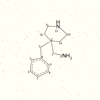 NCC1(Cc2ccccc2)CCNCC1